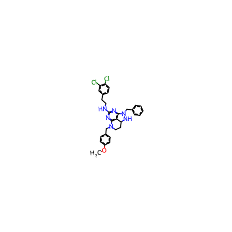 COc1ccc(CN2CCC3NN(Cc4ccccc4)c4nc(NCCc5ccc(Cl)c(Cl)c5)nc2c43)cc1